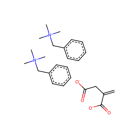 C=C(CC(=O)[O-])C(=O)[O-].C[N+](C)(C)Cc1ccccc1.C[N+](C)(C)Cc1ccccc1